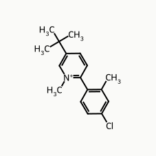 Cc1cc(Cl)ccc1-c1ccc(C(C)(C)C)c[n+]1C